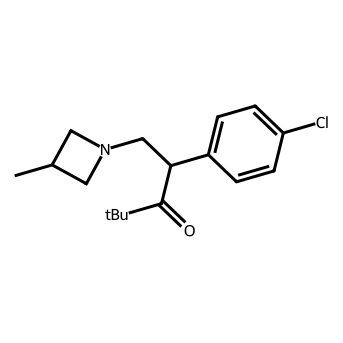 CC1CN(CC(C(=O)C(C)(C)C)c2ccc(Cl)cc2)C1